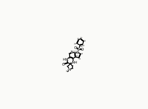 CN1CCC2(C1)Nc1c(cnc3c1ccn3S(=O)(=O)c1ccccc1)NC2=O